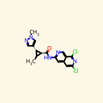 CC1[C@H](C(=O)Nc2cc3cc(Cl)nc(Cl)c3cn2)[C@H]1c1cnn(C)c1